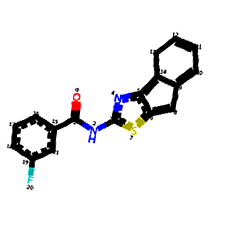 O=C(Nc1nc2c(s1)=CC1=CC=CCC=21)c1cccc(F)c1